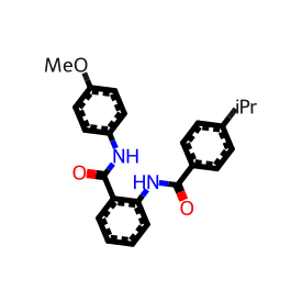 COc1ccc(NC(=O)c2ccccc2NC(=O)c2ccc(C(C)C)cc2)cc1